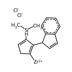 C[SiH](C)C1=CC[C]([Zr+2])=C1C1C=Cc2ccccc21.[Cl-].[Cl-]